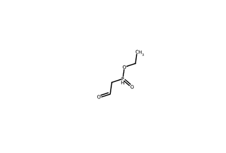 CCO[PH](=O)CC=O